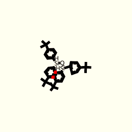 CC(C)(C)c1ccc([SiH](O[SiH](c2ccc(C(C)(C)C)cc2)c2ccc(C(C)(C)C)cc2)c2ccc(C(C)(C)C)cc2)cc1